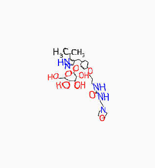 CC(C)c1[nH]nc(O[C@@H]2O[C@H](CO)[C@@H](O)[C@H](O)[C@H]2O)c1Cc1ccc(OCCCNC(=O)NCCN2CCOCC2)cc1